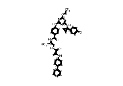 O=C(NC[C@H](NC(=O)c1ccc(Nc2nc(NC3(c4ccc(Cl)cc4)CC3)nc(OCC(F)(F)F)n2)cc1)C(=O)O)C(=O)Nc1ccc(-c2ccncc2)cc1